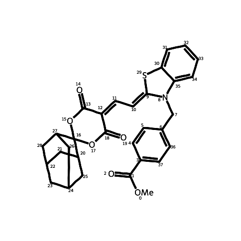 COC(=O)c1ccc(CN2/C(=C/C=C3C(=O)OC4(OC3=O)C3CC5CC(C3)CC4C5)Sc3ccccc32)cc1